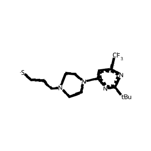 CC(C)(C)c1nc(N2CCN(CCC[S])CC2)cc(C(F)(F)F)n1